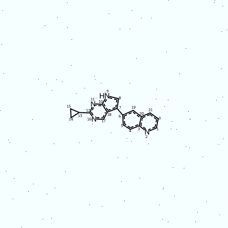 c1cnc2ccc(-c3c[nH]c4nc(C5CC5)ncc34)cc2c1